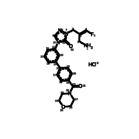 Cl.NC/C(=C\F)Cn1ncn(-c2cccc(-c3ccc(C(=O)N4CCOCC4)cc3)c2)c1=O